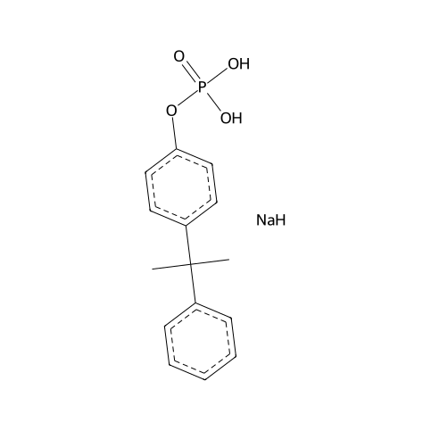 CC(C)(c1ccccc1)c1ccc(OP(=O)(O)O)cc1.[NaH]